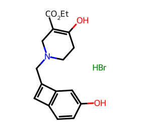 Br.CCOC(=O)C1=C(O)CCN(CC2=Cc3ccc(O)cc32)C1